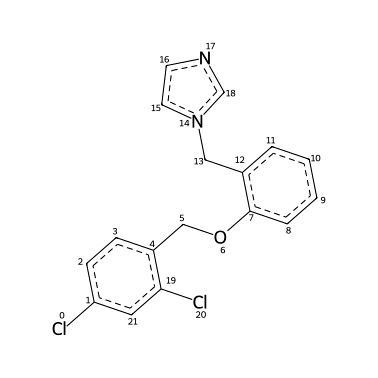 Clc1ccc(COc2ccccc2Cn2ccnc2)c(Cl)c1